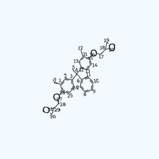 Cc1cc(C(C)(c2ccccc2)c2ccc(OCC3CO3)c(C)c2)ccc1OCC1CO1